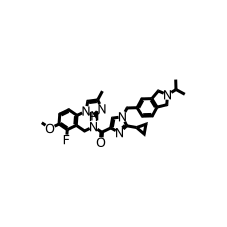 COc1ccc(-n2cc(C)nn2)c(CNC(=O)c2cn(Cc3ccc4c(c3)CN(C(C)C)C4)c(C3CC3)n2)c1F